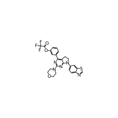 O=C(Oc1cccc(-c2nc(N3CCOCC3)nc3c2CCN3c2ccc3ncsc3c2)c1)C(F)(F)F